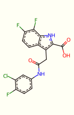 O=C(Cc1c(C(=O)O)[nH]c2c(F)c(F)ccc12)Nc1ccc(F)c(Cl)c1